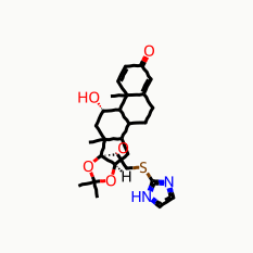 CC1(C)O[C@@H]2CC3C4CCC5=CC(=O)C=CC5(C)C4[C@@H](O)CC3(C)[C@]2(C(=O)CSc2ncc[nH]2)O1